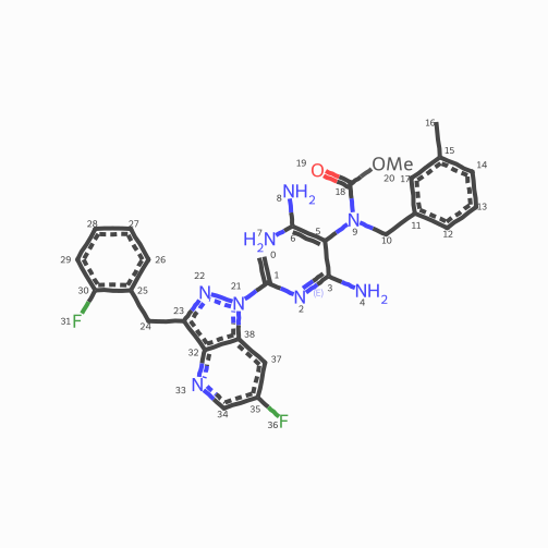 C=C(/N=C(/N)C(=C(N)N)N(Cc1cccc(C)c1)C(=O)OC)n1nc(Cc2ccccc2F)c2ncc(F)cc21